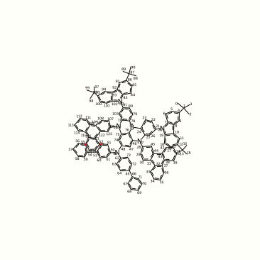 CC(C)(C)c1ccc2c(c1)c1cc(C(C)(C)C)ccc1n2-c1ccc2c(c1)N(c1ccc3c4ccccc4c4ccccc4c3c1)c1cc(N(c3ccc(-c4ccccc4)cc3)c3ccc(-c4ccccc4)cc3)cc3c1B2c1ccc(-n2c4ccc(C(C)(C)C)cc4c4cc(C(C)(C)C)ccc42)cc1N3c1ccc2c3ccccc3c3ccccc3c2c1